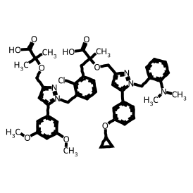 COc1cc(OC)cc(-c2cc(COC(C)(C)C(=O)O)nn2Cc2cccc(CC(C)(OCc3cc(-c4cccc(OC5CC5)c4)n(Cc4ccccc4N(C)C)n3)C(=O)O)c2Cl)c1